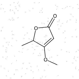 COC1=CC(=O)OC1C